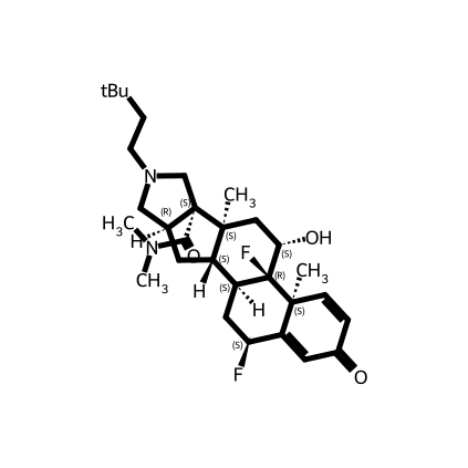 CN(C)C(=O)[C@@]12CN(CCC(C)(C)C)C[C@@H]1C[C@H]1[C@@H]3C[C@H](F)C4=CC(=O)C=C[C@]4(C)[C@@]3(F)[C@@H](O)C[C@@]12C